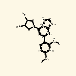 COc1ncc(-c2cc(N3CC(F)C(F)C3)n3ncnc3n2)c(OC)n1